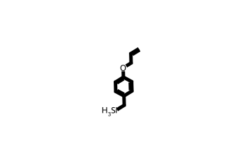 C=CCOc1ccc(C[SiH3])cc1